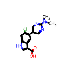 CN(C)c1ncc(-c2cc3c(C(=O)O)c[nH]c3cc2Cl)cn1